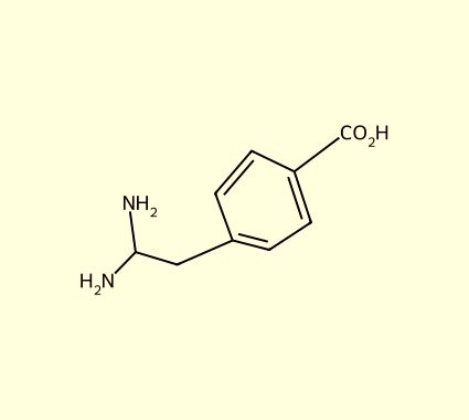 NC(N)Cc1ccc(C(=O)O)cc1